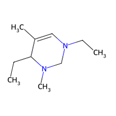 CCC1C(C)=CN(CC)CN1C